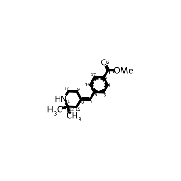 COC(=O)c1ccc(C=C2CCNC(C)(C)C2)cc1